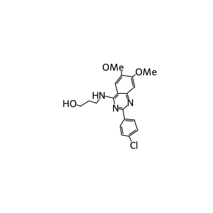 COc1cc2nc(-c3ccc(Cl)cc3)nc(NCCCO)c2cc1OC